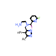 CCCc1c(CN(/C=C\N)C(I)c2cccc(F)n2)ncnc1C(C)=O